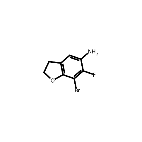 Nc1cc2c(c(Br)c1F)OCC2